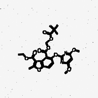 CCOC(=O)c1c(C)oc2ccc(Oc3nc(OC)cc(OC)n3)c(C(=O)OCOC(=O)C(C)(C)C)c12